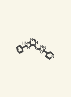 c1ccc(-c2nc3c(Sc4nnc(-c5ccncc5)o4)ncnc3[nH]2)cc1